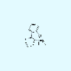 CN=P1(C)Oc2ccccc2-c2ccccc21